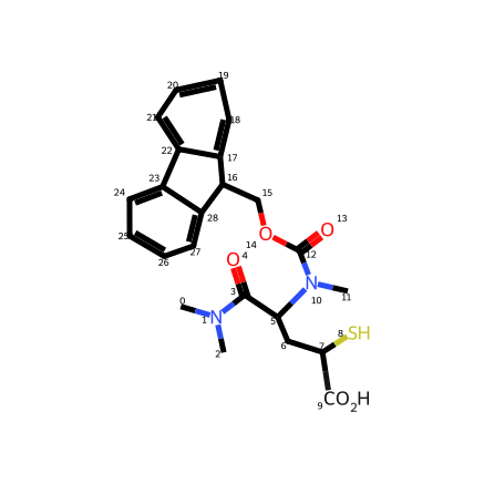 CN(C)C(=O)C(CC(S)C(=O)O)N(C)C(=O)OCC1c2ccccc2-c2ccccc21